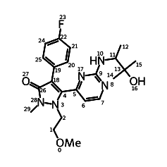 COCCn1c(-c2ccnc(NC(C)C(C)(C)O)n2)c(-c2ccc(F)cc2)c(=O)n1C